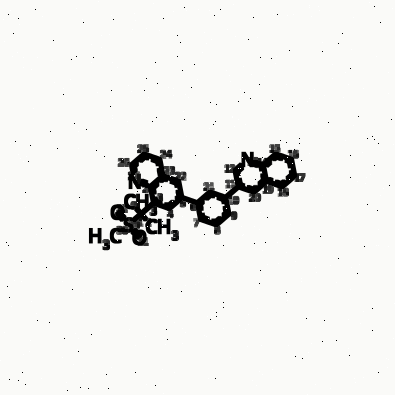 CC(C)(c1cc(-c2cccc(-c3cnc4ccccc4c3)c2)cc2cccnc12)S(C)(=O)=O